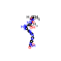 CC(NC(=O)c1noc(C(C)(C)C)n1)c1ccc(-c2n[nH]c3ncc(-c4ccc(N5CCN(CC6CCN(c7ccc(N8CCC(=O)NC8=O)cc7)CC6)CC5)nc4)cc23)cc1CO